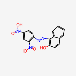 O=[N+](O)c1ccc(/N=N/c2c(O)ccc3ccccc23)c([N+](=O)O)c1